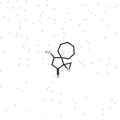 CC1CC(=O)C2(CO2)C12CCCCCC2